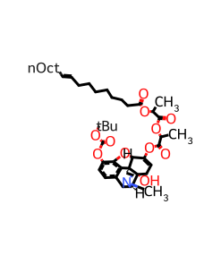 CCCCCCCCC=CCCCCCCCC(=O)OC(C)C(=O)OC(C)C(=O)OC1=CC[C@@]2(O)[C@H]3Cc4ccc(OC(=O)OC(C)(C)C)c5c4[C@@]2(CCN3C)[C@H]1O5